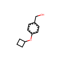 OCc1ccc(OC2CCC2)cc1